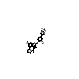 Cn1cc(-c2ccc(OCC34CC(C(=O)N5N=CCC5c5cc(F)cc(F)c5)(C3)C4)c(Cl)c2)cn1